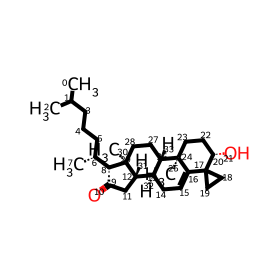 CC(C)CCC[C@@H](C)[C@H]1C(=O)C[C@H]2[C@@H]3CC=C4C5(CC5)[C@@H](O)CC[C@]4(C)[C@H]3CC[C@]12C